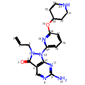 C=CCn1c(=O)c2cnc(N)nc2n1-c1cccc(OC2CCNCC2)n1